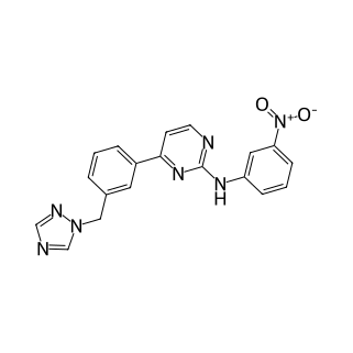 O=[N+]([O-])c1cccc(Nc2nccc(-c3cccc(Cn4cncn4)c3)n2)c1